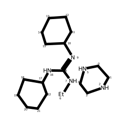 C1CNCCN1.CCNC(=NC1CCCCC1)NC1CCCCC1